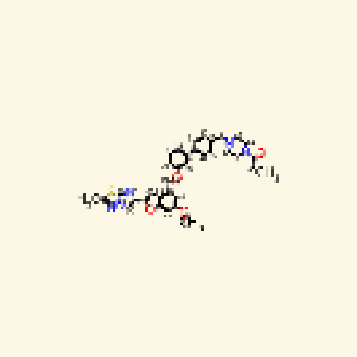 CCC(=O)N1CCN(Cc2ccc(-c3cccc(OCc4cc(OC)cc5oc(-c6cn7nc(C)sc7n6)cc45)c3)cc2)CC1